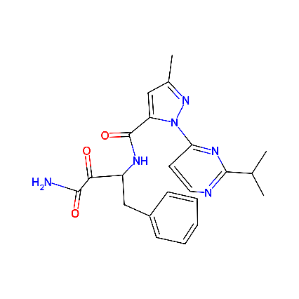 Cc1cc(C(=O)NC(Cc2ccccc2)C(=O)C(N)=O)n(-c2ccnc(C(C)C)n2)n1